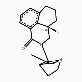 CC1(N2C[C@H]3CCCc4cccc(c43)C2=O)CN2CCC1CC2